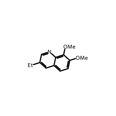 [CH2]Cc1cnc2c(OC)c(OC)ccc2c1